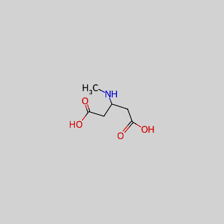 CNC(CC(=O)O)CC(=O)O